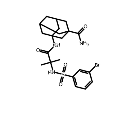 CC(C)(NS(=O)(=O)c1cccc(Br)c1)C(=O)NC12CC3CC(C1)CC(C(N)=O)(C3)C2